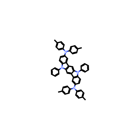 Cc1ccc(N(c2ccc(C)cc2)c2ccc3c(c2)c2cc4c(cc2n3-c2ccccc2)c2cc(N(c3ccc(C)cc3)c3ccc(C)cc3)ccc2n4-c2ccccc2)cc1